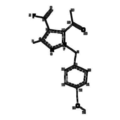 C=C(F)c1c(C)nn(Cc2ccc(OC)cc2)c1C(C)=O